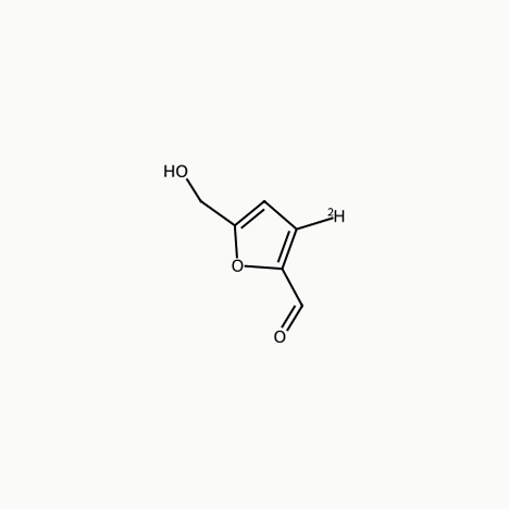 [2H]c1cc(CO)oc1C=O